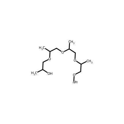 CCCOCC(C)OCC(C)OCC(C)OCC(C)O